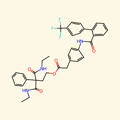 CCNC(=O)C(CCOC(=O)Cc1ccc(NC(=O)c2ccccc2-c2ccc(C(F)(F)F)cc2)cc1)(C(=O)NCC)c1ccccc1